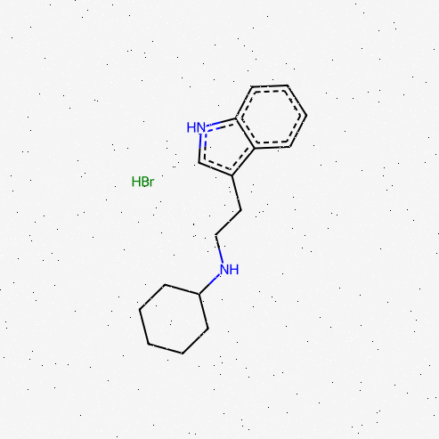 Br.c1ccc2c(CCNC3CCCCC3)c[nH]c2c1